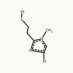 CCSCCc1nc(CC)cn1C